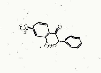 O=C(c1ccc(C(F)(F)F)cc1F)C(O)c1ccccc1